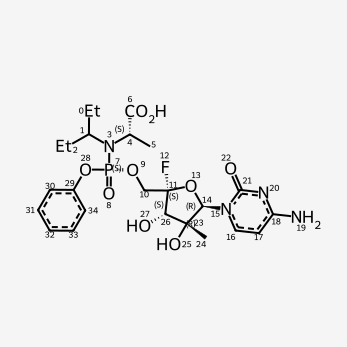 CCC(CC)N([C@@H](C)C(=O)O)[P@](=O)(OC[C@@]1(F)O[C@@H](n2ccc(N)nc2=O)[C@](C)(O)[C@@H]1O)Oc1ccccc1